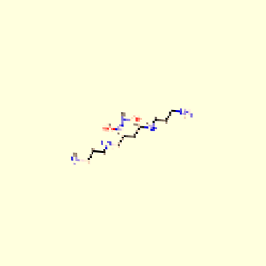 NCCCNCCCCNCCCN.ON=NO